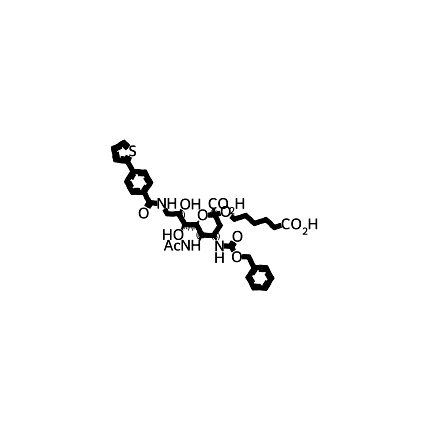 CC(=O)N[C@H]1[C@H]([C@H](O)[C@H](O)CNC(=O)c2ccc(-c3cccs3)cc2)O[C@@](OCCCCCC(=O)O)(C(=O)O)C[C@@H]1NC(=O)OCc1ccccc1